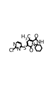 Cc1cc(Sc2ccnc(Cl)n2)c(=O)n2c1C(=O)NC21CCCCC1